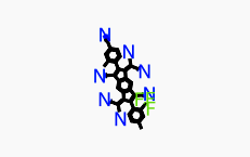 Cc1ccc(C2=C(C#N)c3cc4c(cc3C2=C(C#N)C#N)C(C#N)=C(c2ccc(C#N)cc2C)C4=C(C#N)C#N)c(C(F)(F)F)c1